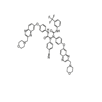 N#Cc1ccc(N(C(=O)Nc2ccc(Oc3ccc4ncc(CN5CCOCC5)nc4c3)cc2)N(C(=O)Nc2cccc(C(F)(F)F)c2)c2ccc(Oc3ccc4ncc(CN5CCOCC5)nc4c3)cc2)cc1